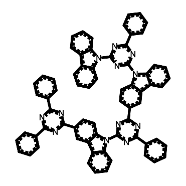 c1ccc(-c2nc(-c3ccccc3)nc(-c3ccc4c(c3)c3ccccc3n4-c3nc(-c4ccccc4)nc(-c4ccc5c(c4)c4ccccc4n5-c4nc(-c5ccccc5)nc(-n5c6ccccc6c6ccccc65)n4)n3)n2)cc1